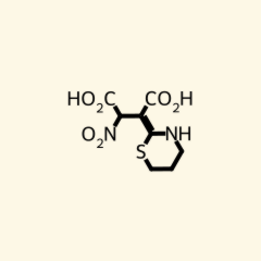 O=C(O)C(=C1NCCCS1)C(C(=O)O)[N+](=O)[O-]